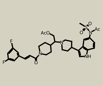 CC(=O)OCC(C1CCN(C(=O)C=Cc2cc(F)cc(F)c2)CC1)N1CCC(c2c[nH]c3ccc(N(C(C)=O)S(C)(=O)=O)cc23)CC1